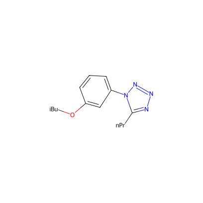 CCCc1nnnn1-c1cccc(OC(C)CC)c1